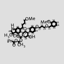 COCCCC(O[C@H]1CN(C(=O)OC(C)OC(=O)C(C)C)C[C@@H](O)[C@@H]1c1ccc(OCCCOCc2ccccc2OC)cc1)c1ccc2c(c1)NCC2(C)C